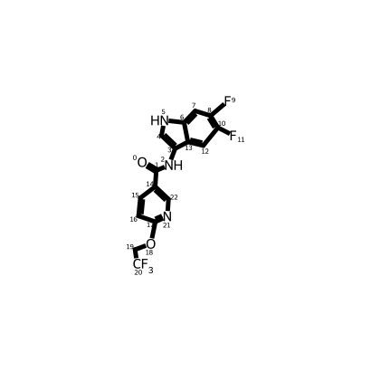 O=C(Nc1c[nH]c2cc(F)c(F)cc12)c1ccc(OCC(F)(F)F)nc1